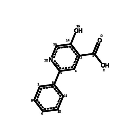 O=C(O)c1cc(-c2ccccc2)ncc1O